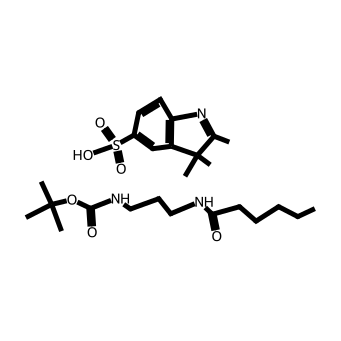 CC1=Nc2ccc(S(=O)(=O)O)cc2C1(C)C.CCCCCC(=O)NCCCNC(=O)OC(C)(C)C